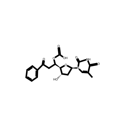 Cc1cn([C@H]2C[C@H](O)[C@@H](C(CC(=O)c3ccccc3)OC(=O)O)O2)c(=O)[nH]c1=O